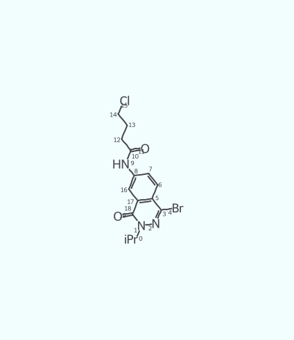 CC(C)n1nc(Br)c2ccc(NC(=O)CCCCl)cc2c1=O